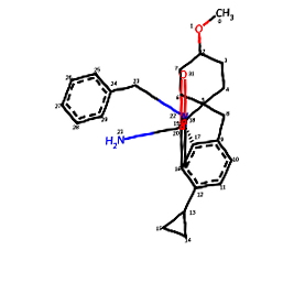 COC1CCC2(CC1)Cc1ccc(C3CC3)cc1[C@]21N=C(N)N(Cc2ccccc2)C1=O